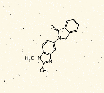 Cc1nc2cc(N3Cc4ccccc4C3=O)ccc2n1C